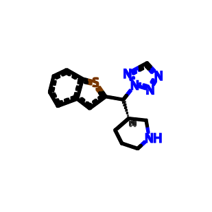 c1ccc2sc(C([C@H]3CCCNC3)n3ncnn3)cc2c1